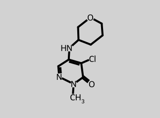 Cn1ncc(NC2CCCOC2)c(Cl)c1=O